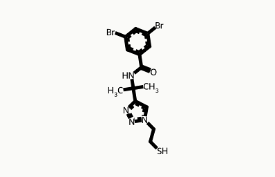 CC(C)(NC(=O)c1cc(Br)cc(Br)c1)c1cn(CCS)nn1